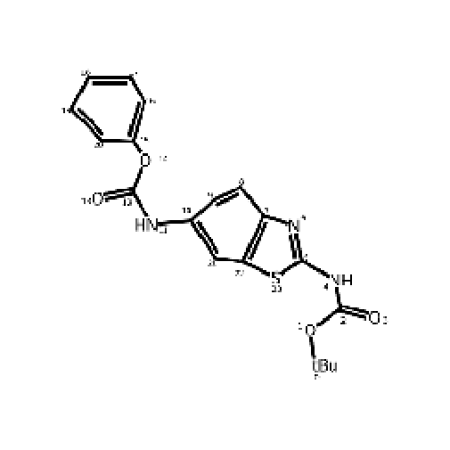 CC(C)(C)OC(=O)Nc1nc2ccc(NC(=O)Oc3ccccc3)cc2s1